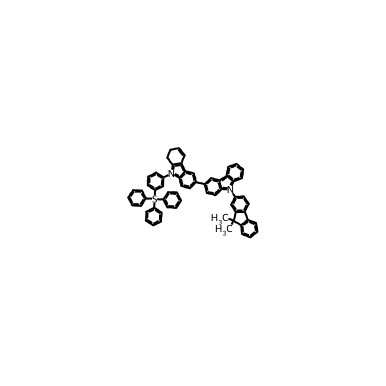 CC1(C)c2ccccc2-c2ccc(-n3c4ccccc4c4cc(-c5ccc6c(c5)c5c(n6-c6cccc(S(c7ccccc7)(c7ccccc7)c7ccccc7)c6)CCC=C5)ccc43)cc21